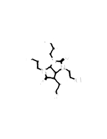 O=C1C(CCCl)C2C(N1CCCl)N(CCCl)C(=O)N2CCCl